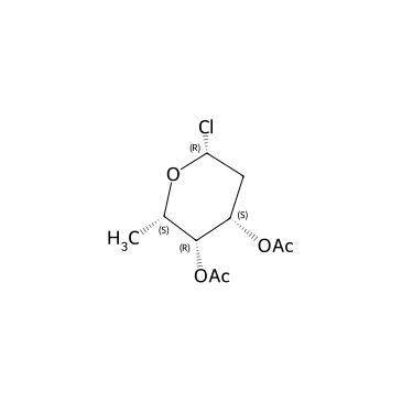 CC(=O)O[C@@H]1[C@H](C)O[C@H](Cl)C[C@@H]1OC(C)=O